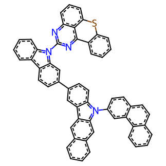 c1ccc2c(c1)Sc1cccc3nc(-n4c5ccccc5c5ccc(-c6ccc7c(c6)c6cc8ccccc8cc6n7-c6ccc7ccc8ccccc8c7c6)cc54)nc-2c13